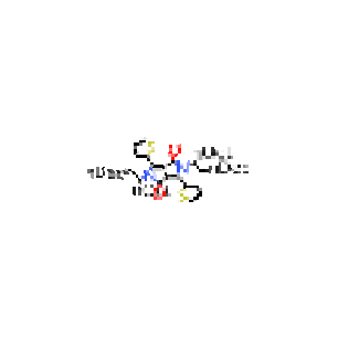 CCCCCCCCCCCC(CCCCCCCC)N1C(=O)C2=C(c3cccs3)N(C(CCCCCCCC)CCCCCCCCCCC)C(=O)C2=C1c1cccs1